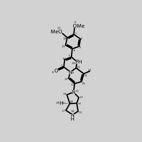 COc1ccc(C2=CC(=O)N3C=C(N4CC5CNC[C@H]5C4)C=C(C)C3P2)cc1OC